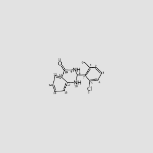 Cc1cccc(Cl)c1C1NC(=O)c2ccccc2N1